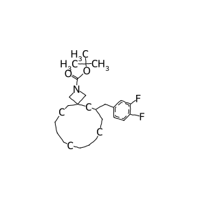 CC(C)(C)OC(=O)N1CC2(CCCCCCCCCCCC(Cc3ccc(F)c(F)c3)C2)C1